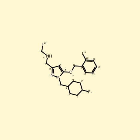 FC1CCC(Cn2nc(CNCI)cc2OCc2ccccc2I)CC1